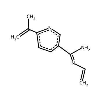 C=C/N=C(\N)c1ccc(C(=C)C)nc1